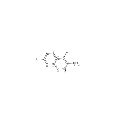 Cc1ccc2c(C)c(N)ncc2c1